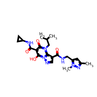 Cc1cc(CNC(=O)c2cnn3c(O)c(C(=O)NC4CC4)c(=O)n(CC(C)C)c23)n(C)n1